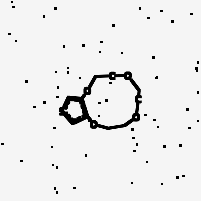 c1scc2c1OCCOCCOCCO2